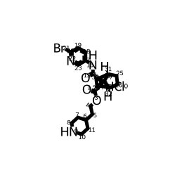 Cl.O=C(OCCC1CCNCC1)[C@H]1[C@H](C(=O)Nc2ccc(Br)nc2)[C@@H]2CC[C@H]1C21CC1